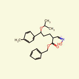 Cc1ccc(C(CCC(/C=N\O)C(=O)OCc2ccccc2)OC(C)C)cc1